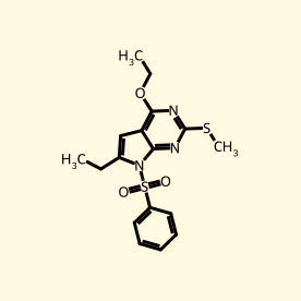 CCOc1nc(SC)nc2c1cc(CC)n2S(=O)(=O)c1ccccc1